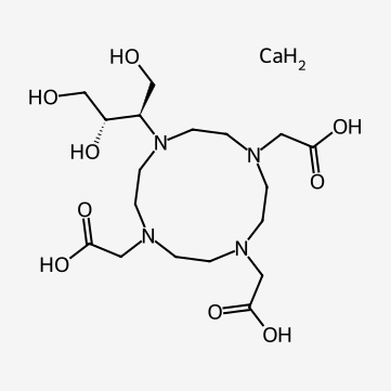 O=C(O)CN1CCN(CC(=O)O)CCN([C@H](CO)[C@H](O)CO)CCN(CC(=O)O)CC1.[CaH2]